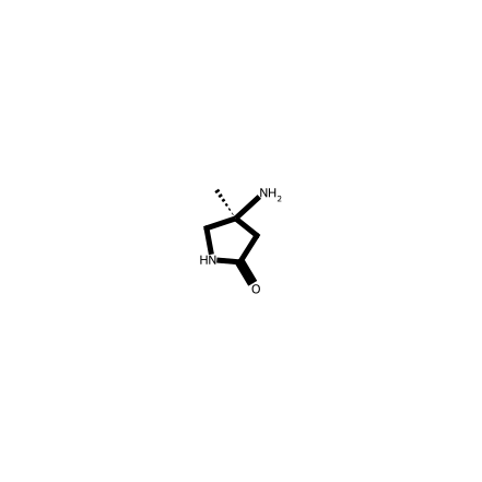 C[C@@]1(N)CNC(=O)C1